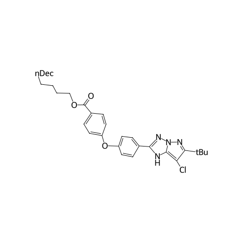 CCCCCCCCCCCCCCOC(=O)c1ccc(Oc2ccc(-c3nn4nc(C(C)(C)C)c(Cl)c4[nH]3)cc2)cc1